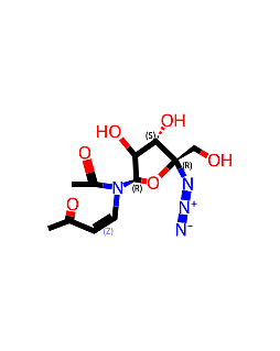 CC(=O)/C=C\N(C(C)=O)[C@@H]1O[C@@](CO)(N=[N+]=[N-])[C@@H](O)C1O